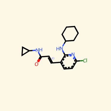 O=C(/C=C/c1ccc(Cl)nc1NC1CCCCC1)NC1CC1